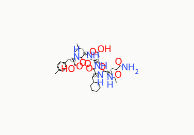 CC(=O)N[C@@H](CCC(N)=O)C(=O)N[C@@H](CC1CCCCC1)C(=O)N[C@@H](CC(=O)O)C(=O)N[C@@H](CC(C)C)C(=O)N[C@@H](Cc1ccc(C)cc1)C(=O)O